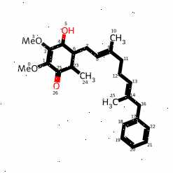 COC1=C(OC)C(O)C(C/C=C(\C)CC/C=C(\C)Cc2ccccc2)C(C)C1=O